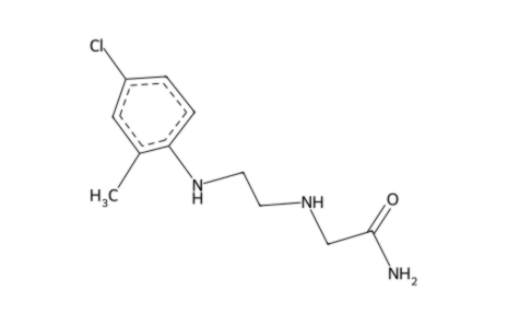 Cc1cc(Cl)ccc1NCCNCC(N)=O